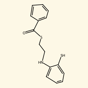 O=C(SCCNc1ccccc1S)c1ccccc1